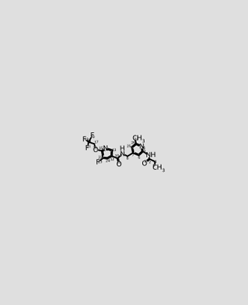 CCC(=O)Nc1cc(CNC(=O)c2cnc(OCC(F)(F)F)c(F)c2)cc(C)n1